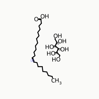 CCCCCCCC/C=C\CCCCCCCCCCCC(=O)O.OC[C@@H](O)[C@@H](O)[C@H](O)[C@@H](O)CO